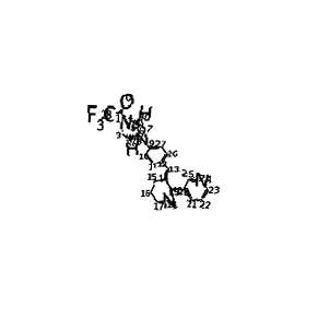 O=C(N1C[C@@H]2C[C@H]1CN2c1ccc(C=C2CCCN=C2c2cccnc2)cc1)C(F)(F)F